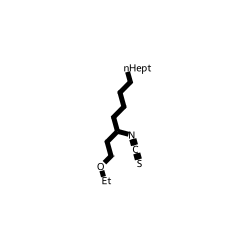 CCCCCCCCCCCC(C[CH]OCC)N=C=S